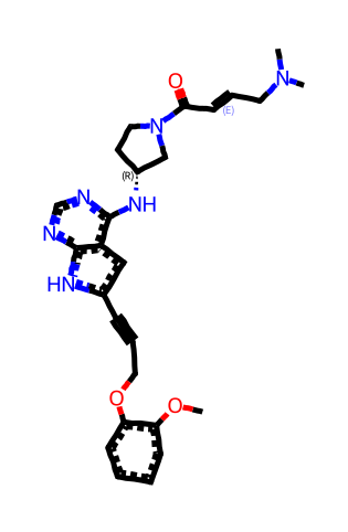 COc1ccccc1OCC#Cc1cc2c(N[C@@H]3CCN(C(=O)/C=C/CN(C)C)C3)ncnc2[nH]1